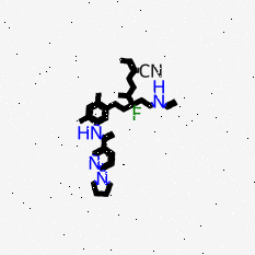 C=CNCCC(F)(CCc1cc(NC(=C)c2ccc(N3CCCC3)nc2)c(C)cc1C)C(C)CC/C(C#N)=C\C